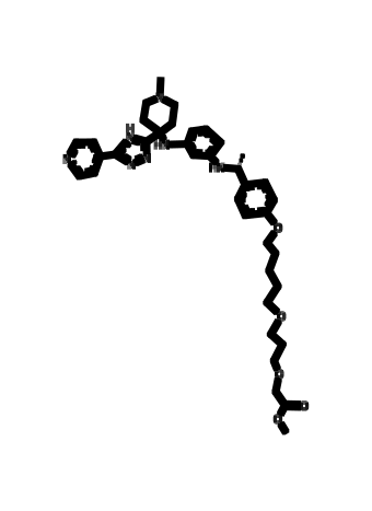 COC(=O)COCCCOCCCCCOc1ccc([C@@H](C)Nc2cccc(NC3(c4nnc(-c5ccncc5)[nH]4)CCN(C)CC3)c2)cc1